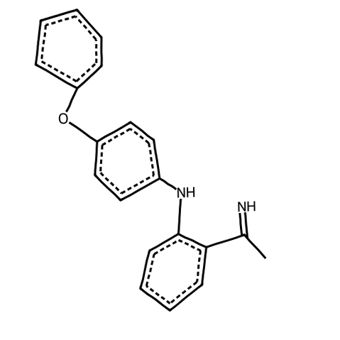 CC(=N)c1ccccc1Nc1ccc(Oc2ccccc2)cc1